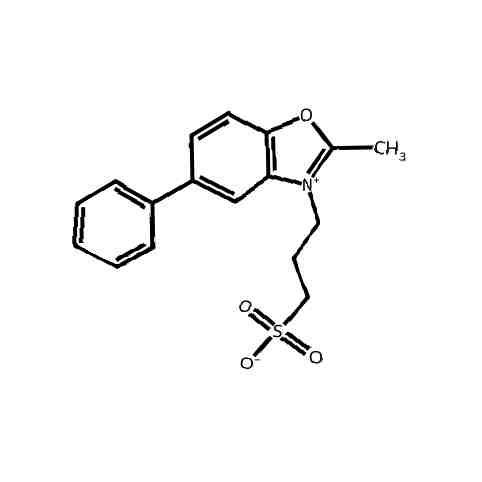 Cc1oc2ccc(-c3ccccc3)cc2[n+]1CCCS(=O)(=O)[O-]